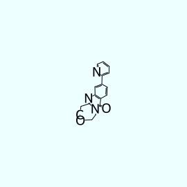 O=c1c2ccc(-c3ccccn3)cc2nc2n1CCOCC2